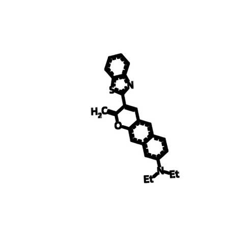 C=C1Oc2cc3cc(N(CC)CC)ccc3cc2C=C1c1nc2ccccc2s1